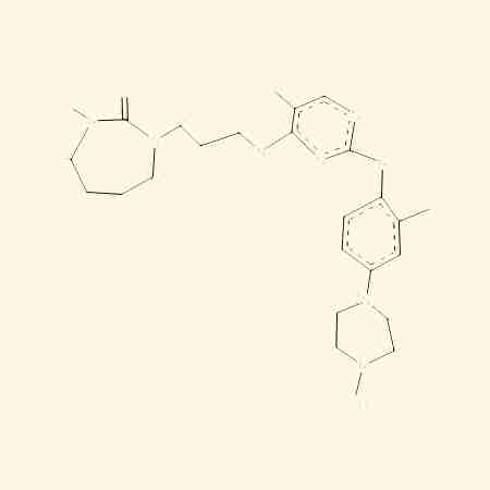 CCc1cc(N2CCN(C)CC2)ccc1Nc1ncc(C(F)(F)F)c(NCCCN2CCCCN(C)C2=O)n1